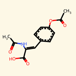 CC(=O)NC(=Cc1ccc(OC(C)=O)cc1)C(=O)O